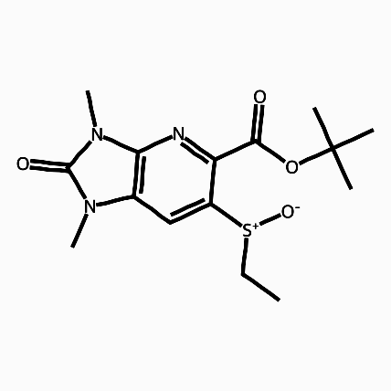 CC[S+]([O-])c1cc2c(nc1C(=O)OC(C)(C)C)n(C)c(=O)n2C